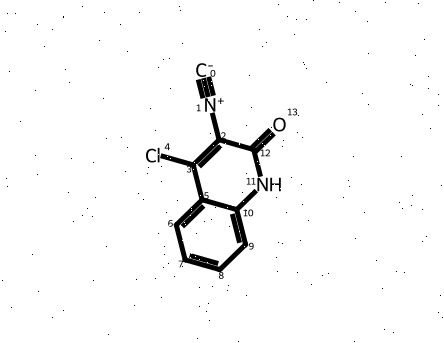 [C-]#[N+]c1c(Cl)c2ccccc2[nH]c1=O